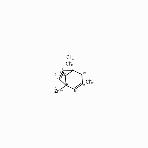 CC1(C)C2C=C[C]1([Zr+3])C=CC2.[Cl-].[Cl-].[Cl-]